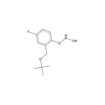 CC(C)(C)OCc1cc(F)ccc1OBO